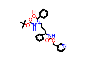 CC(C)(C)OC(=O)NN(CCCC(NC(=O)OCc1cccnc1)c1ccccc1)C(O)c1ccccc1